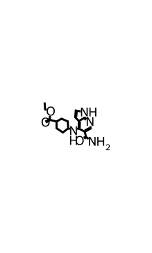 CCOC(=O)C1CCC(Nc2c(C(N)=O)cnc3[nH]ccc23)CC1